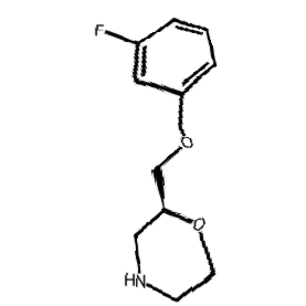 Fc1cccc(OC[C@@H]2CNCCO2)c1